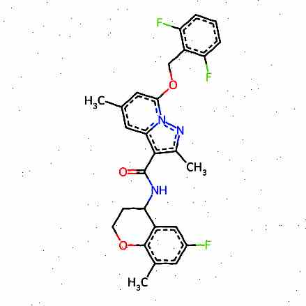 Cc1cc(OCc2c(F)cccc2F)n2nc(C)c(C(=O)NC3CCOc4c(C)cc(F)cc43)c2c1